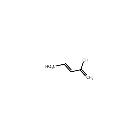 C=C(O)/C=C/C(=O)O